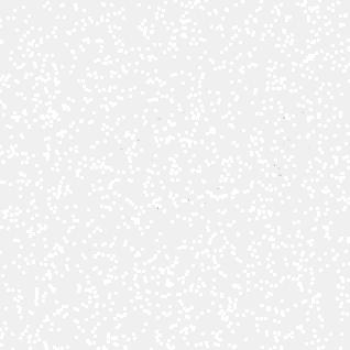 CCCCCCCCCCCCCCCCn1cc[n+](CC)c1.CCCOP(=O)([O-])OCCC